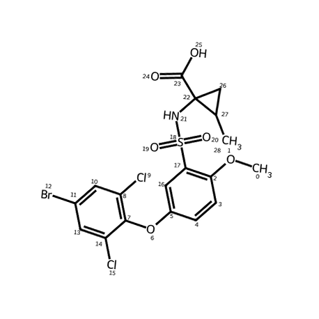 COc1ccc(Oc2c(Cl)cc(Br)cc2Cl)cc1S(=O)(=O)NC1(C(=O)O)CC1C